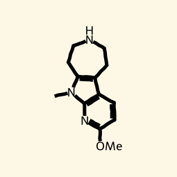 COc1ccc2c3c(n(C)c2n1)CCNCC3